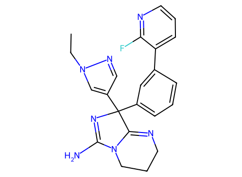 CCn1cc(C2(c3cccc(-c4cccnc4F)c3)N=C(N)N3CCCN=C32)cn1